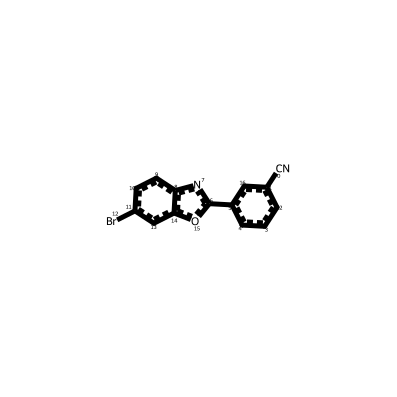 N#Cc1cccc(-c2nc3ccc(Br)cc3o2)c1